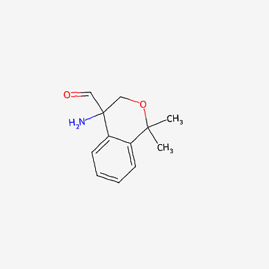 CC1(C)OCC(N)(C=O)c2ccccc21